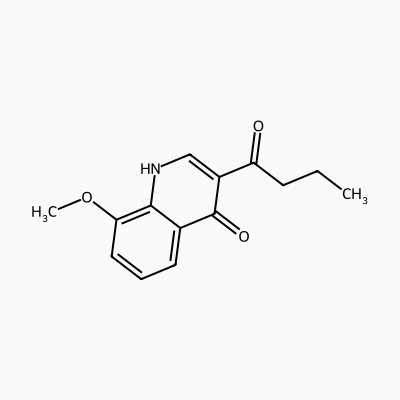 CCCC(=O)c1c[nH]c2c(OC)cccc2c1=O